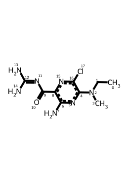 CCN(C)c1nc(N)c(C(=O)N=C(N)N)nc1Cl